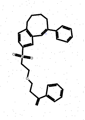 C=C(CCOCCS(=O)(=O)c1ccc2c(c1)/C=C(/c1ccccc1)CCCC2)c1ccccc1